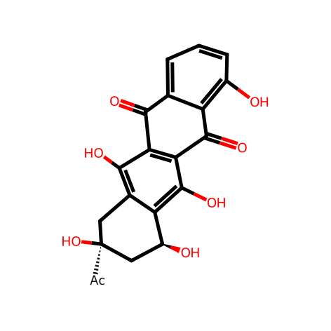 CC(=O)[C@]1(O)Cc2c(O)c3c(c(O)c2[C@@H](O)C1)C(=O)c1c(O)cccc1C3=O